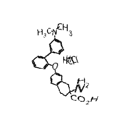 CN(C)c1cccc(-c2ccccc2Oc2ccc3c(c2)CC(N)(C(=O)O)CC3)c1.Cl.Cl